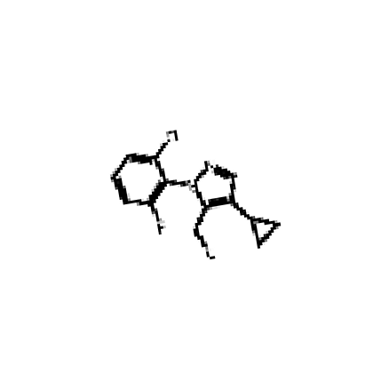 Fc1cccc(Cl)c1-n1ncc(C2CC2)c1CCl